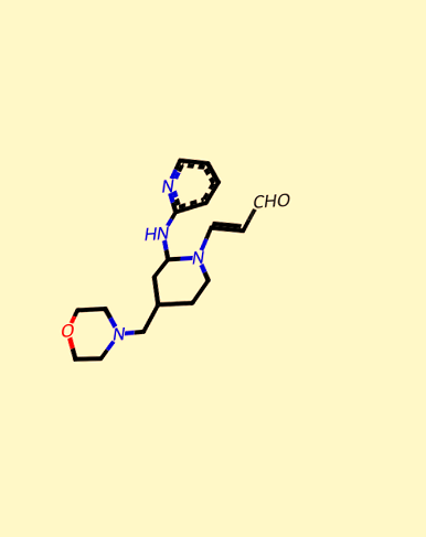 O=CC=CN1CCC(CN2CCOCC2)CC1Nc1ccccn1